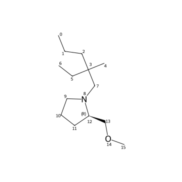 CCCC(C)(CC)CN1CCC[C@@H]1COC